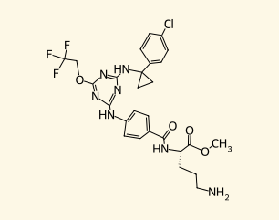 COC(=O)[C@H](CCCN)NC(=O)c1ccc(Nc2nc(NC3(c4ccc(Cl)cc4)CC3)nc(OCC(F)(F)F)n2)cc1